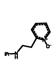 CC(C)NCCc1cccc[n+]1[O-]